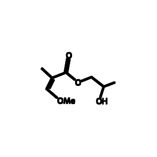 COC=C(C)C(=O)OCC(C)O